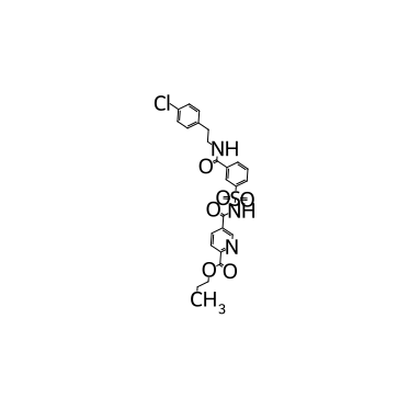 CCCOC(=O)c1ccc(C(=O)NS(=O)(=O)c2cccc(C(=O)NCCc3ccc(Cl)cc3)c2)cn1